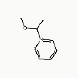 COC(C)[n+]1ccccn1